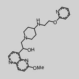 COc1ccc2nccc(C(O)CN3CCC(NCCOc4ccccn4)CC3)c2n1